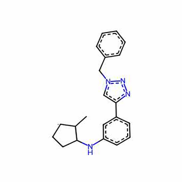 CC1[CH]CCC1Nc1cccc(-c2cn(Cc3ccccc3)nn2)c1